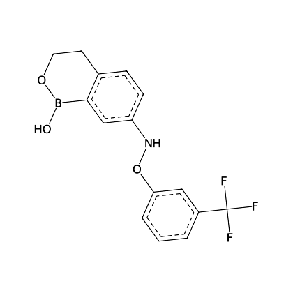 OB1OCCc2ccc(NOc3cccc(C(F)(F)F)c3)cc21